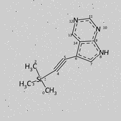 C[Si](C)(C)C#Cc1c[nH]c2ncncc12